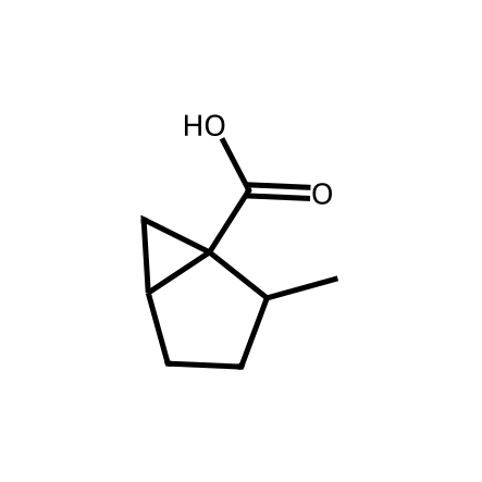 CC1CCC2CC12C(=O)O